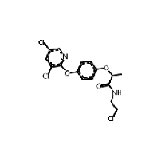 CC(Oc1ccc(Oc2ncc(Cl)cc2Cl)cc1)C(=O)NCCCl